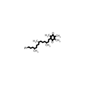 CC1=C(C)C(=O)C(CC[C@H](C)CCC[C@H](C)CCC[C@H](C)CCCC(C)C)=C(C)C1=O